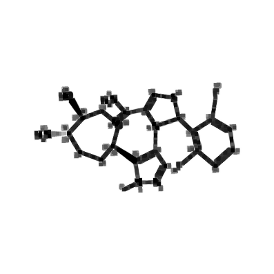 Cn1ncc(N2C(C(N)=O)=CSC2c2c(F)cccc2F)c1[C@H]1CC[C@H](N)[C@@H](O)CO1